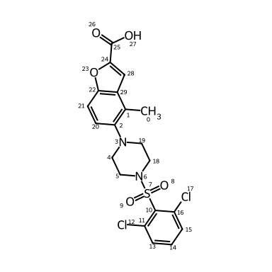 Cc1c(N2CCN(S(=O)(=O)c3c(Cl)cccc3Cl)CC2)ccc2oc(C(=O)O)cc12